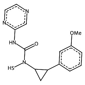 COc1cccc(C2CC2N(S)C(=O)Nc2cnccn2)c1